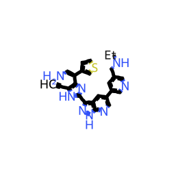 C#Cc1[nH]c(-c2n[nH]c3ncc(-c4cncc(CNCC)c4)cc23)nc1/C(=C\N)c1ccsc1